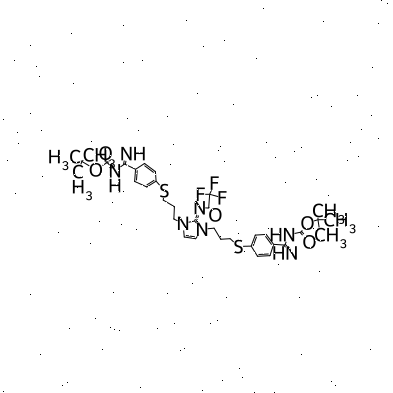 CC(C)(C)OC(=O)NC(=N)c1ccc(SCCCn2ccn(CCCSc3ccc(C(=N)NC(=O)OC(C)(C)C)cc3)c2=NC(=O)C(F)(F)F)cc1